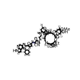 CC[C@H]1OC(=O)[C@H](C)[C@@H](O[C@H]2C[C@@](C)(OC)[C@@H](O)[C@H](C)O2)[C@H](C)[C@@H](O[C@@H]2O[C@H](C)C[C@H](N(C)CCCN(C)C(=O)/C(C#N)=C/c3ccc(-c4nc5cnc6[nH]ccc6c5n4C4CCCCC4)o3)[C@H]2O)[C@](C)(O)C[C@@H](C)CN(C)[C@H](C)[C@@H](O)[C@]1(C)O